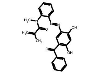 C=C(C)C(=O)N(C)c1ccccc1N=Nc1cc(C(=O)c2ccccc2)c(O)cc1O